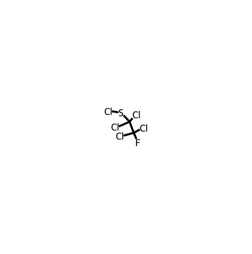 FC(Cl)(Cl)C(Cl)(Cl)SCl